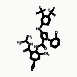 Cc1cc(C#N)cc(C(=O)NC(C)C)c1NC(=O)c1cc(Nc2ccc(C(F)(F)F)c(C(F)(F)F)c2)nn1-c1ncccc1Cl